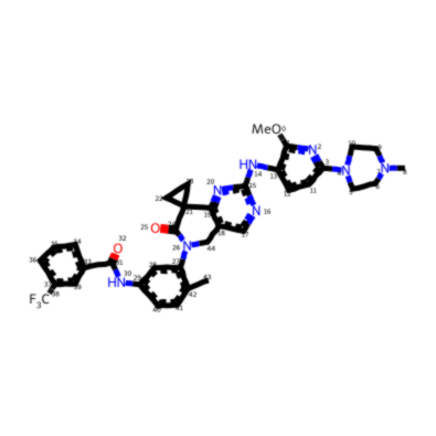 COc1nc(N2CCN(C)CC2)ccc1Nc1ncc2c(n1)C1(CC1)C(=O)N(c1cc(NC(=O)c3cccc(C(F)(F)F)c3)ccc1C)C2